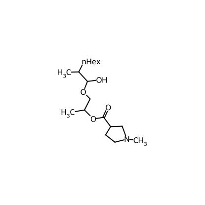 CCCCCCC(C)C(O)OCC(C)OC(=O)C1CCN(C)C1